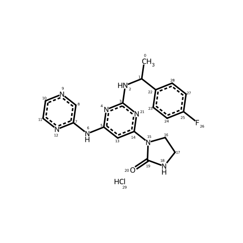 CC(Nc1nc(Nc2cnccn2)cc(N2CCNC2=O)n1)c1ccc(F)cc1.Cl